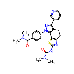 CN(C)C(=O)Nc1nc2c(s1)-c1c(c(-c3cccnc3)nn1-c1ccc(C(=O)N(C)C)cc1)CC2